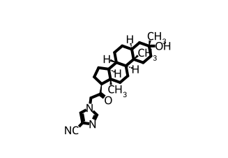 C[C@@]1(O)CC[C@@]2(C)[C@@H](CC[C@@H]3[C@@H]2CC[C@]2(C)[C@@H](C(=O)Cn4cnc(C#N)c4)CC[C@@H]32)C1